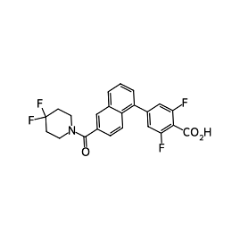 O=C(O)c1c(F)cc(-c2cccc3cc(C(=O)N4CCC(F)(F)CC4)ccc23)cc1F